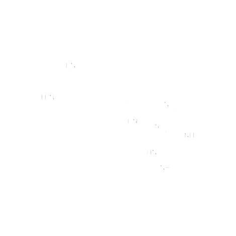 N=C(NN)N(N)NC(=O)c1ccc(N)c(N)c1